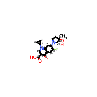 CC1(O)CCN(c2cc3c(cc2F)c(=O)c(C(=O)O)cn3C2CC2)C1